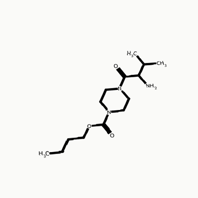 CCCCOC(=O)N1CCN(C(=O)C(N)C(C)C)CC1